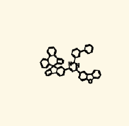 c1ccc(-c2cccc(-c3nc(-c4ccc5c(c4)C4(c6ccccc6-c6ccccc6-c6ccccc64)c4ccccc4-5)cc(-c4ccc5oc6ccccc6c5c4)n3)c2)cc1